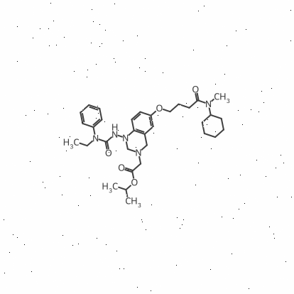 CCN(C(=O)NN1CN(CC(=O)OC(C)C)Cc2cc(OCCCC(=O)N(C)C3CCCCC3)ccc21)c1ccccc1